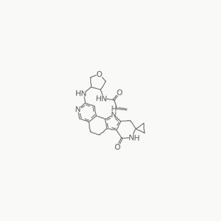 C=CC(=O)NC1COCC1Nc1cc2c(cn1)CCc1c-2[nH]c2c1C(=O)NC1(CC1)C2